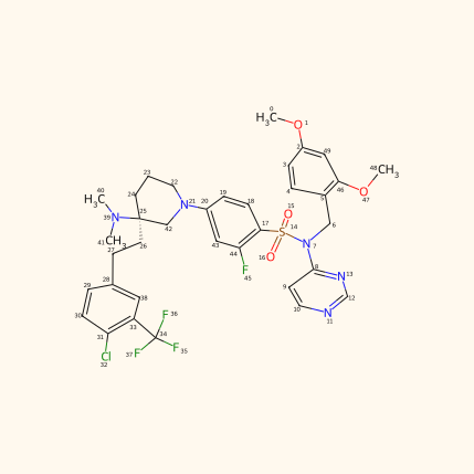 COc1ccc(CN(c2ccncn2)S(=O)(=O)c2ccc(N3CCC[C@](CCc4ccc(Cl)c(C(F)(F)F)c4)(N(C)C)C3)cc2F)c(OC)c1